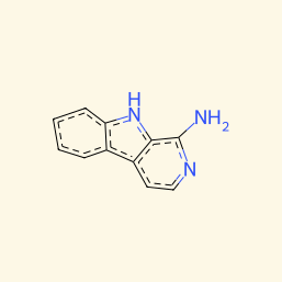 Nc1nccc2c1[nH]c1ccccc12